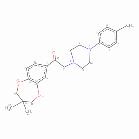 Cc1ccc(N2CCN(CC(=O)c3ccc4c(c3)OCC(C)(C)CO4)CC2)cc1